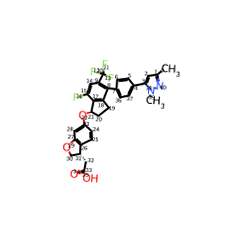 Cc1cc(-c2ccc(-c3c(C(F)(F)F)cc(F)c4c3CC[C@H]4Oc3ccc4c(c3)OC[C@H]4CC(=O)O)cc2)n(C)n1